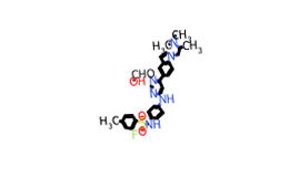 Cc1ccc(S(=O)(=O)Nc2ccc(Nc3cc(-c4ccc5c(ccn5CC(C)N(C)C)c4)ncn3)cc2)c(F)c1.O=CO